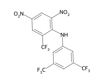 O=[N+]([O-])c1cc([N+](=O)[O-])c(Nc2cc(C(F)(F)F)cc(C(F)(F)F)c2)c(C(F)(F)F)c1